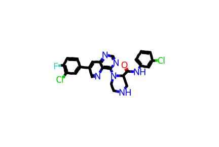 O=C(Nc1cccc(Cl)c1)C1CNCCN1c1ncnc2cc(-c3ccc(F)c(Cl)c3)cnc12